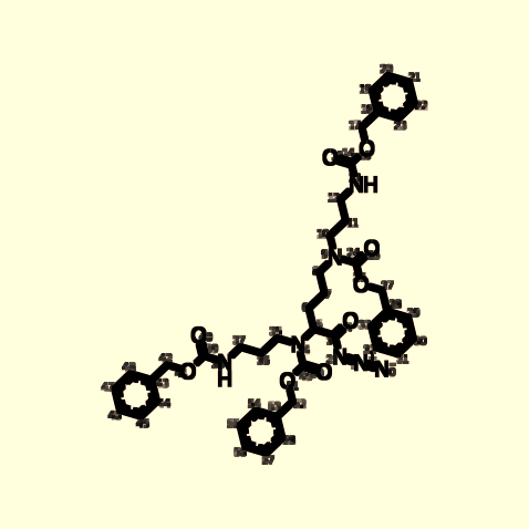 [N-]=[N+]=NC(=O)C(CCCN(CCCNC(=O)OCc1ccccc1)C(=O)OCc1ccccc1)N(CCCNC(=O)OCc1ccccc1)C(=O)OCc1ccccc1